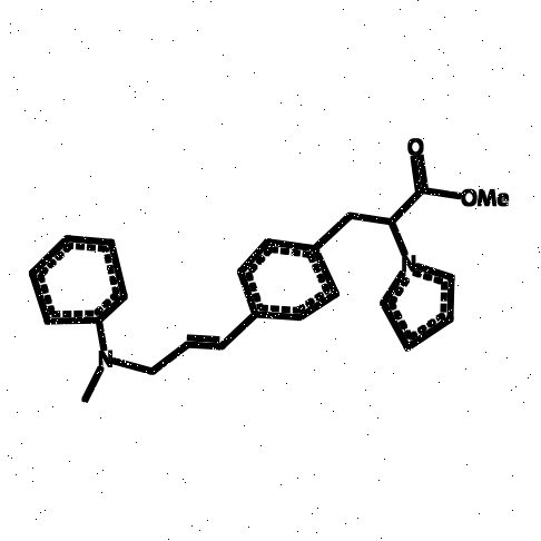 COC(=O)C(Cc1ccc(C=CCN(C)c2ccccc2)cc1)n1cccc1